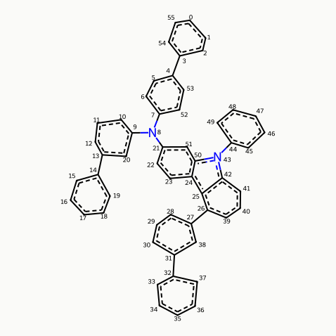 c1ccc(-c2ccc(N(c3cccc(-c4ccccc4)c3)c3ccc4c5c(-c6cccc(-c7ccccc7)c6)cccc5n(-c5ccccc5)c4c3)cc2)cc1